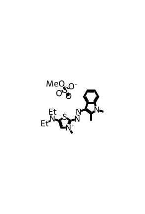 CCN(CC)c1c[n+](C)c(N=Nc2c(C)n(C)c3ccccc23)s1.COS(=O)(=O)[O-]